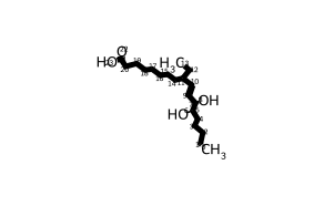 CCCCC[C@H](O)[C@H](O)/C=C/C(CC)CCCCCCCC(=O)O